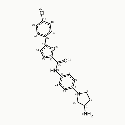 NC1CCN(c2ccc(NC(=O)c3ccc(-c4ccc(Cl)cc4)o3)cc2)C1